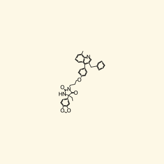 CCC1(c2ccc3c(c2)OCO3)NC(=O)N(CCCOc2ccc(-c3c(Cc4ccccc4)cnc4c(C)cccc34)cc2)C1=O